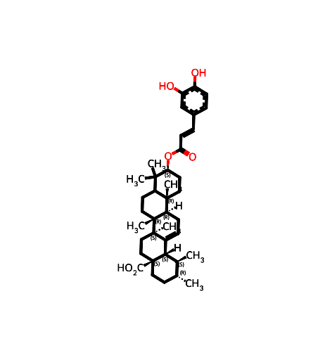 C[C@H]1[C@H](C)CC[C@]2(C(=O)O)CC[C@]3(C)C(=CC[C@@H]4[C@@]5(C)CC[C@H](OC(=O)C=Cc6ccc(O)c(O)c6)C(C)(C)C5CC[C@]43C)[C@H]12